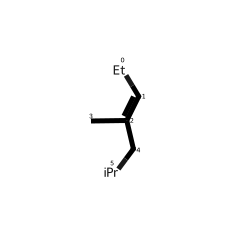 CC/C=C(\C)CC(C)C